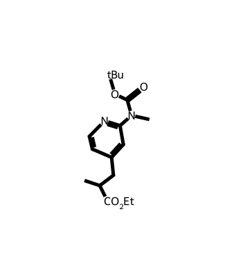 CCOC(=O)C(C)Cc1ccnc(N(C)C(=O)OC(C)(C)C)c1